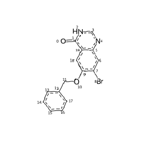 O=c1[nH]cnc2cc(Br)c(OCc3ccccc3)cc12